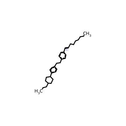 CCCCCCC/C=C/c1ccc(CCc2ccc(C3CCC(CCC)CC3)cc2)cc1